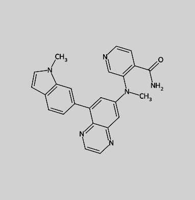 CN(c1cc(-c2ccc3ccn(C)c3c2)c2nccnc2c1)c1cnccc1C(N)=O